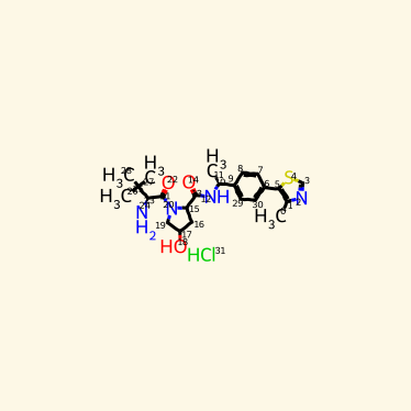 Cc1ncsc1-c1ccc([C@H](C)NC(=O)C2CC(O)CN2C(=O)[C@@H](N)C(C)(C)C)cc1.Cl